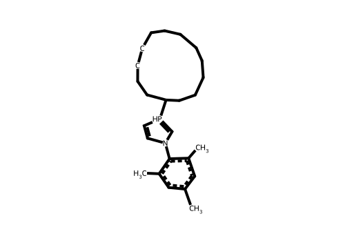 Cc1cc(C)c(N2C=C[PH](C3CCCCCCCCCCCC3)=C2)c(C)c1